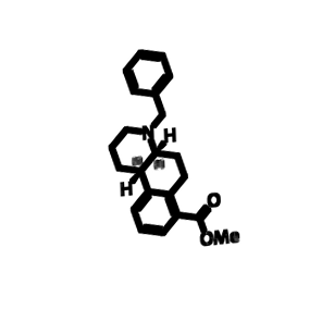 COC(=O)c1cccc2c1CC[C@@H]1[C@H]2CCCN1Cc1ccccc1